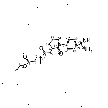 CCOC(=O)CCNC(=O)CC1CCCN(c2ccc(C(=N)N)cc2)C1=O